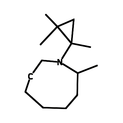 CC1CCCCCCN1C1(C)CC1(C)C